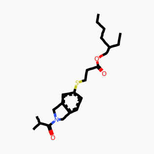 CCCCC(CC)COC(=O)CCSc1ccc2c(c1)CN(C(=O)C(C)C)C2